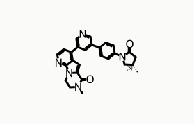 C[C@H]1CC(=O)N(c2ccc(-c3cncc(-c4ccnc5c4cc4n5CCN(C)C4=O)c3)cc2)C1